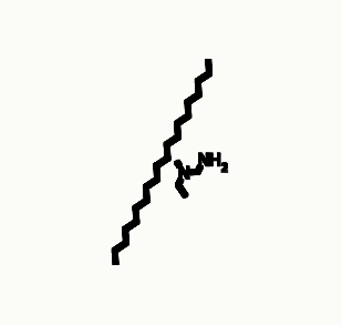 CCCCCCCCCCCCCCCCCCCC.CCN(C)CN